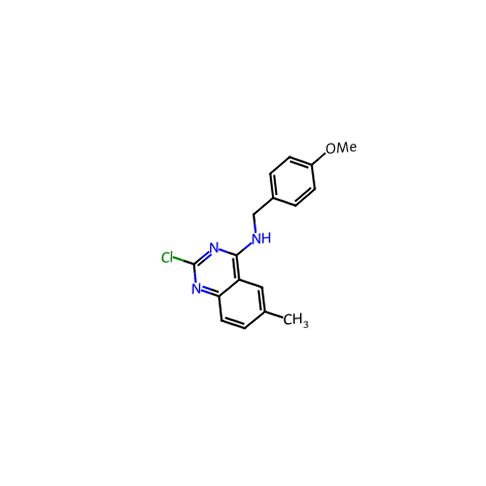 COc1ccc(CNc2nc(Cl)nc3ccc(C)cc23)cc1